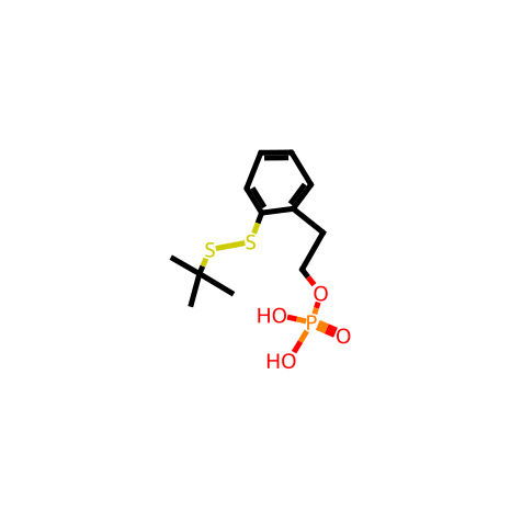 CC(C)(C)SSc1ccccc1CCOP(=O)(O)O